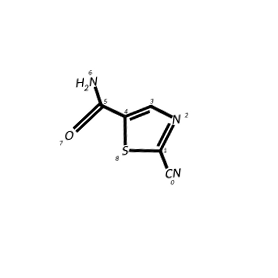 N#Cc1ncc(C(N)=O)s1